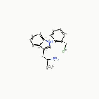 ClCc1ccccc1.NC(Cc1c[nH]c2ccccc12)C(=O)O